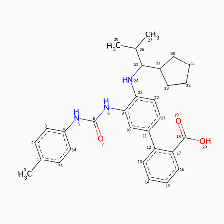 Cc1ccc(NC(=O)Nc2cc(-c3ccccc3C(=O)O)ccc2NC(C(C)C)C2CCCC2)cc1